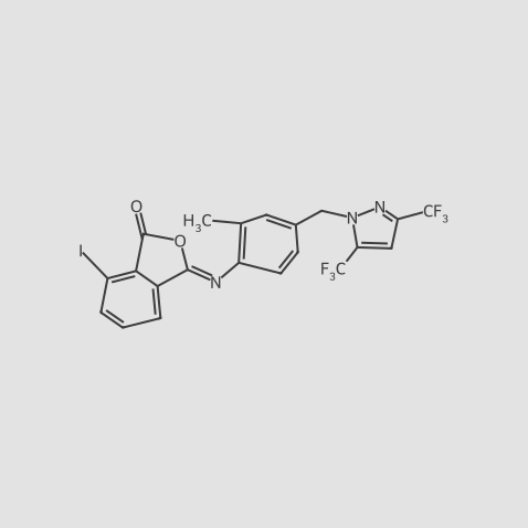 Cc1cc(Cn2nc(C(F)(F)F)cc2C(F)(F)F)ccc1N=C1OC(=O)c2c(I)cccc21